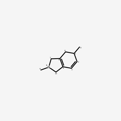 CC1C=CC2=C(C1)CN(C)C2